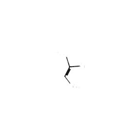 CCCC/[C]=C(\CC)CCCC